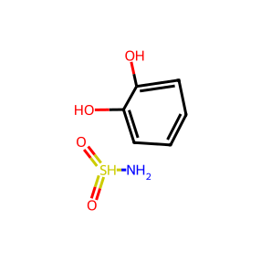 N[SH](=O)=O.Oc1ccccc1O